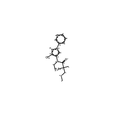 BC(C)(CSC)C(=O)N(CC)c1cn(-c2cccnc2)nc1Cl